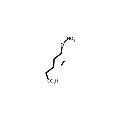 CC.O=C(O)CCCCO[N+](=O)[O-]